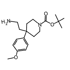 COc1ccc(C2(CCN)CCN(C(=O)OC(C)(C)C)CC2)cc1